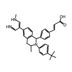 CN/C=C(\C=N)c1ccc2c(c1)CC(C)N(c1ccc(C(C)(C)C)cc1)C2c1ccc(/C=C/C(=O)O)cc1